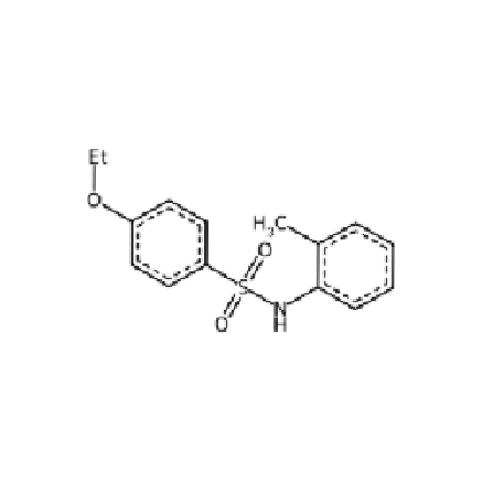 CCOc1ccc(S(=O)(=O)Nc2ccccc2C)cc1